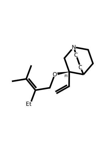 C=C[C@]1(OCC(CC)=C(C)C)CN2CCC1CC2